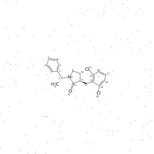 C[C@H](c1ccccc1)N1CC[C@@H](Cc2c(Cl)cccc2Cl)C1=O